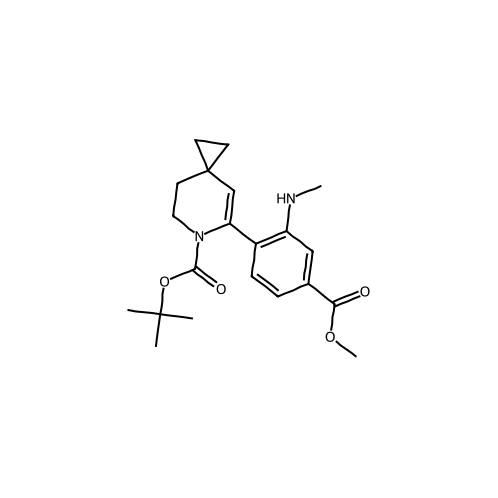 CNc1cc(C(=O)OC)ccc1C1=CC2(CCN1C(=O)OC(C)(C)C)CC2